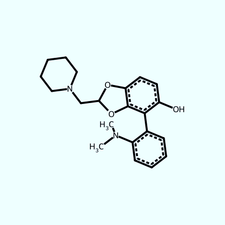 CN(C)c1ccccc1-c1c(O)ccc2c1OC(CN1CCCCC1)O2